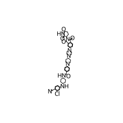 N#Cc1ccc(N[C@H]2CC[C@H](NC(=O)c3ccc(N4CCC(N5CCN(c6ccc7c(c6)C(=O)N(C6CCC(=O)NC6=O)C7=O)CC5)CC4)cc3)CC2)cc1Cl